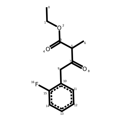 CCOC(=O)C(C)C(=O)Cc1ccccc1F